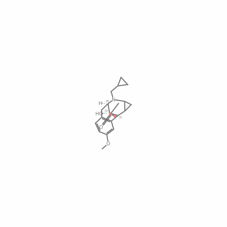 COc1ccc2c(c1)[C@@]13CCC(=O)C[C@@]1(O)[C@@H](C2)N(CC1CC1)C1CC13